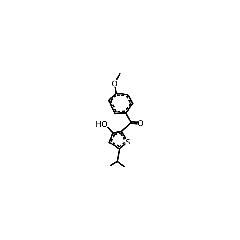 COc1ccc(C(=O)c2sc(C(C)C)cc2O)cc1